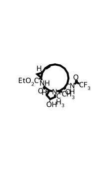 CCOC(=O)[C@@]12C[C@H]1/C=C\CCCCC[C@H](NC(=O)C(F)(F)F)C(=O)C(C)(C)N1C[C@H](O)C[C@H]1C(=O)N2